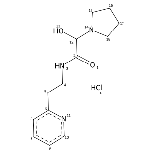 Cl.O=C(NCCc1ccccn1)C(O)N1CCCC1